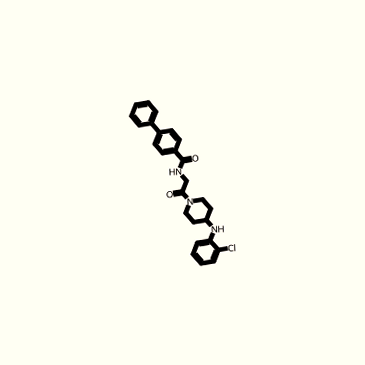 O=C(NCC(=O)N1CCC(Nc2ccccc2Cl)CC1)c1ccc(-c2ccccc2)cc1